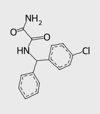 NC(=O)C(=O)NC(c1ccccc1)c1ccc(Cl)cc1